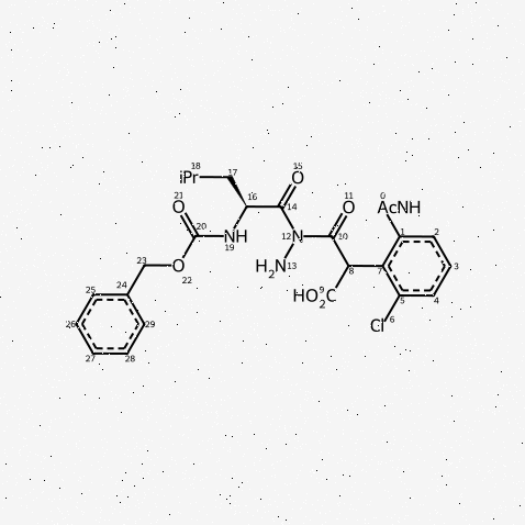 CC(=O)Nc1cccc(Cl)c1C(C(=O)O)C(=O)N(N)C(=O)[C@H](CC(C)C)NC(=O)OCc1ccccc1